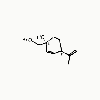 C=C(C)[C@H]1C=C[C@@](O)(COC(C)=O)CC1